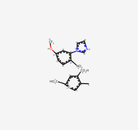 Cc1ccc(C(=O)O)cc1C(=O)O.O=[N+]([O-])c1ccc(OC(F)(F)F)cc1-n1ccnc1